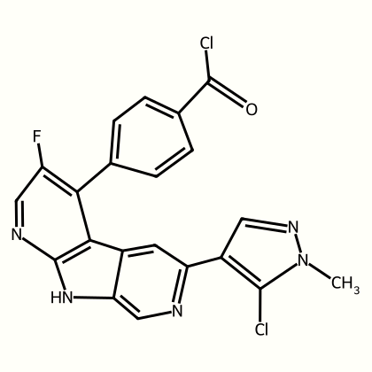 Cn1ncc(-c2cc3c(cn2)[nH]c2ncc(F)c(-c4ccc(C(=O)Cl)cc4)c23)c1Cl